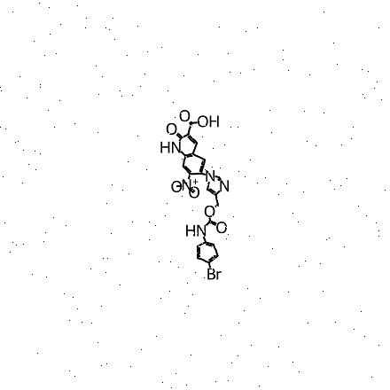 O=C(Nc1ccc(Br)cc1)OCc1cn(-c2cc3cc(C(=O)O)c(=O)[nH]c3cc2[N+](=O)[O-])cn1